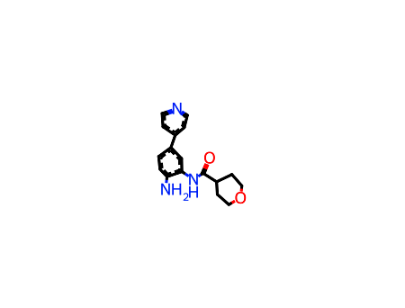 Nc1ccc(-c2ccncc2)cc1NC(=O)C1CCOCC1